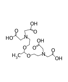 CC(OCCN(CC(=O)O)CC(=O)O)OCCN(CC(=O)O)CC(=O)O